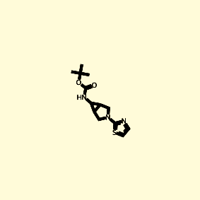 CC(C)(C)OC(=O)NC1C2CN(c3nccs3)CC21